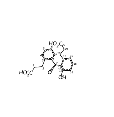 O=C(O)CCc1ccccc1C(=O)c1c(O)cccc1CCC(=O)O